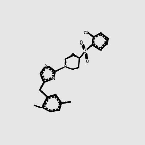 Cc1ccc(C)c(Cc2csc(N3CCC(S(=O)(=O)c4ccccc4Cl)CC3)n2)c1